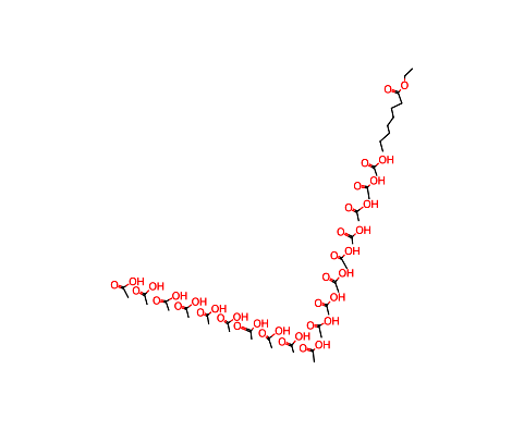 CC(=O)O.CC(=O)O.CC(=O)O.CC(=O)O.CC(=O)O.CC(=O)O.CC(=O)O.CC(=O)O.CC(=O)O.CC(=O)O.CC(=O)O.CC(=O)O.CC(=O)O.CC(=O)O.CC(=O)O.CC(=O)O.CC(=O)O.CC(=O)O.CCCCCCCC(=O)OCC